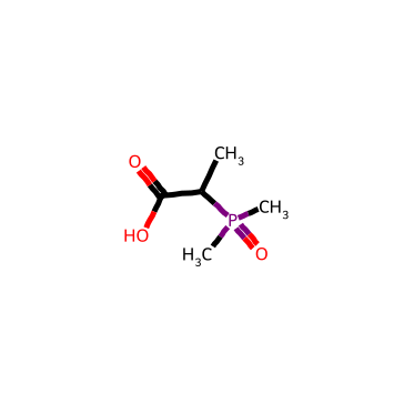 CC(C(=O)O)P(C)(C)=O